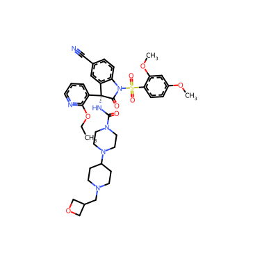 CCOc1ncccc1[C@]1(NC(=O)N2CCN(C3CCN(CC4COC4)CC3)CC2)C(=O)N(S(=O)(=O)c2ccc(OC)cc2OC)c2ccc(C#N)cc21